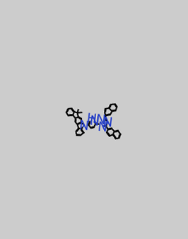 CC1(C)c2ccccc2-c2cc3c4ccccc4n(-c4ccc(C5N=C(c6ccc7ccccc7c6)N=C(c6ccc7ccccc7c6)N5)nc4)c3cc21